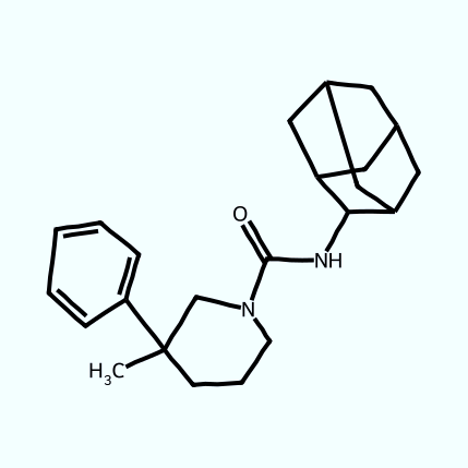 CC1(c2ccccc2)CCCN(C(=O)NC2C3CC4CC(C3)CC2C4)C1